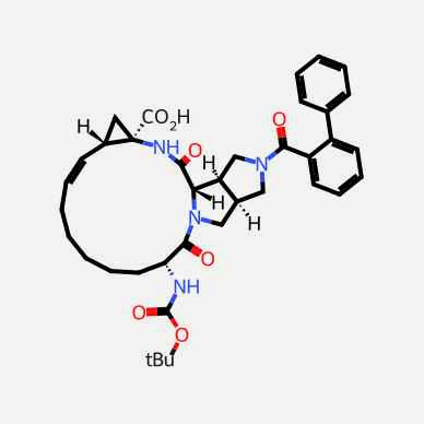 CC(C)(C)OC(=O)N[C@@H]1CCCCC/C=C\[C@@H]2C[C@@]2(C(=O)O)NC(=O)[C@@H]2[C@H]3CN(C(=O)c4ccccc4-c4ccccc4)C[C@H]3CN2C1=O